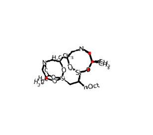 CCCCCCCCC(C[Si]12OC(C)CN(CC(C)O1)CC(C)O2)[Si]12OC(C)CN(CC(C)O1)CC(C)O2